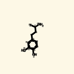 N[C@H](F)CCc1ccc(O)c(O)c1